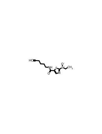 C#CCCCCNC(=O)c1cnc([S+]([O-])CC)s1